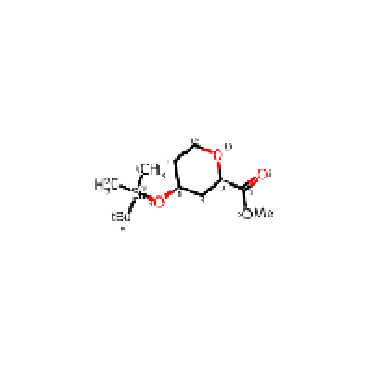 COC(=O)[C@H]1C[C@@H](O[Si](C)(C)C(C)(C)C)CCO1